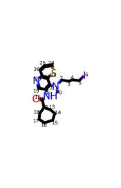 CN(CCCCI)c1c(NC(=O)C2CCCCCC2)cnc2c1SC=C=C2